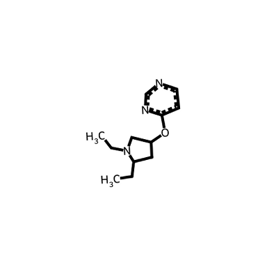 CCC1CC(Oc2ccncn2)CN1CC